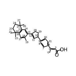 CC(=CC(=O)O)c1ccc(C2C=C(c3cc4c(cc3C)C(C)(C)CCC4(C)C)CC2)cc1